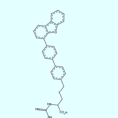 N=C(N)NC(CSCc1ccc(-c2ccc(-c3cccc4c3oc3ccccc34)cc2)cc1)C(=O)O